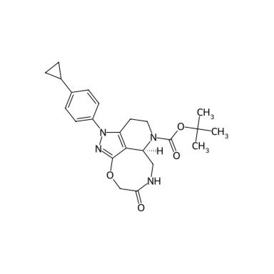 CC(C)(C)OC(=O)N1CCc2c3c(nn2-c2ccc(C4CC4)cc2)OCC(=O)NC[C@@H]31